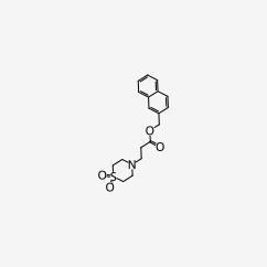 O=C(CCN1CCS(=O)(=O)CC1)OCc1ccc2ccccc2c1